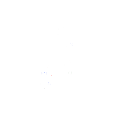 COc1cccc(CN2CCC(Oc3ccc(S(=O)(=O)Nc4nccs4)cc3Cl)CC2)c1